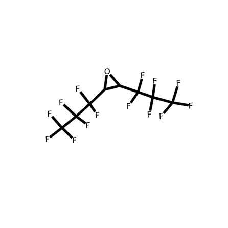 FC(F)(F)C(F)(F)C(F)(F)C1OC1C(F)(F)C(F)(F)C(F)(F)F